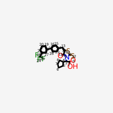 O=C(O)C(C1CCCC1)N1C(=O)C(=Cc2ccc(-c3cccc(C(F)(F)F)c3)cc2)SC1=S